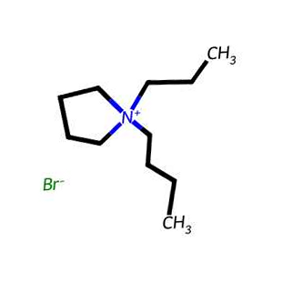 CCCC[N+]1(CCC)CCCC1.[Br-]